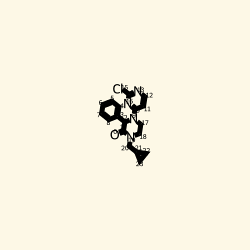 O=C1C(c2ccccc2)N(c2ccnc(Cl)n2)CCN1CC1CC1